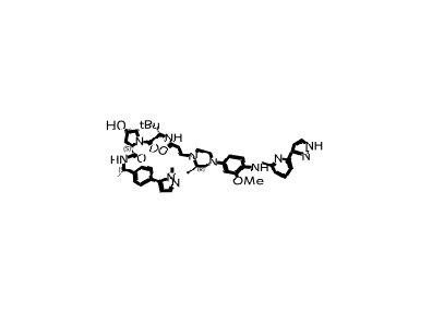 COc1cc(N2CCN(CCC(=O)N[C@H](C(=O)N3C[C@H](O)C[C@H]3C(=O)N[C@@H](C)c3ccc(-c4ccnn4C)cc3)C(C)(C)C)[C@H](C)C2)ccc1NCc1cccc(-c2cc[nH]n2)n1